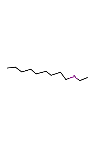 CCCCCCCCC[P]CC